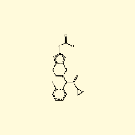 O=C(Cl)Oc1cc2c(s1)CCN(C(C(=O)C1CC1)c1ccccc1F)C2